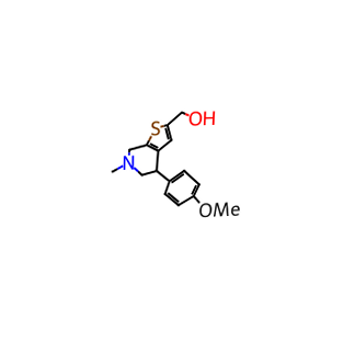 COc1ccc(C2CN(C)Cc3sc(CO)cc32)cc1